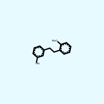 CCCCc1cccc(CCc2ccccc2OC)c1